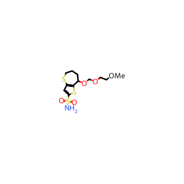 COCCOCOC1CCCSc2cc(S(N)(=O)=O)sc21